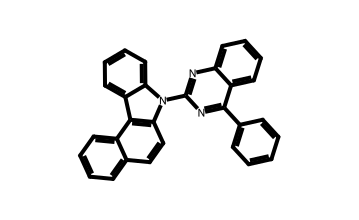 c1ccc(-c2nc(-n3c4ccccc4c4c5ccccc5ccc43)nc3ccccc23)cc1